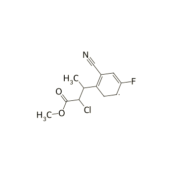 COC(=O)C(Cl)C(C)C1=C(C#N)C=C(F)[CH]C1